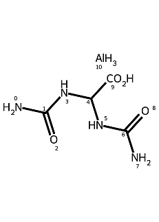 NC(=O)NC(NC(N)=O)C(=O)O.[AlH3]